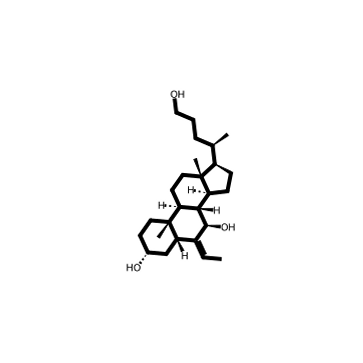 C/C=C1\[C@H](O)[C@@H]2[C@H](CC[C@]3(C)[C@@H]([C@H](C)CCCO)CC[C@@H]23)[C@@]2(C)CC[C@@H](O)C[C@@H]12